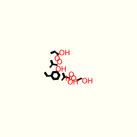 C=C(C)C(=O)O.C=C(C)C(=O)O.C=CC(=O)O.C=Cc1ccccc1.OCCO